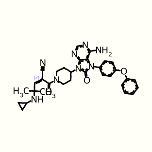 CC(C)(/C=C(/C#N)C(=O)N1CCC(n2c(=O)n(-c3ccc(Oc4ccccc4)cc3)c3c(N)ncnc32)CC1)NC1CC1